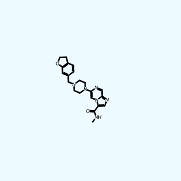 CNC(=O)c1cnc2cnc(N3CCN(Cc4ccc5c(c4)OCC5)CC3)cn12